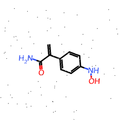 C=C(C(N)=O)c1ccc(NO)cc1